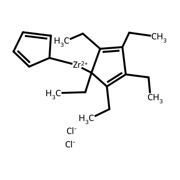 CCC1=C(CC)[C](CC)([Zr+2][CH]2C=CC=C2)C(CC)=C1CC.[Cl-].[Cl-]